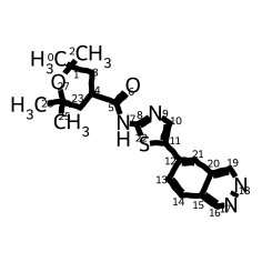 CC1(C)CC(C(=O)Nc2ncc(-c3ccc4cnncc4c3)s2)CC(C)(C)O1